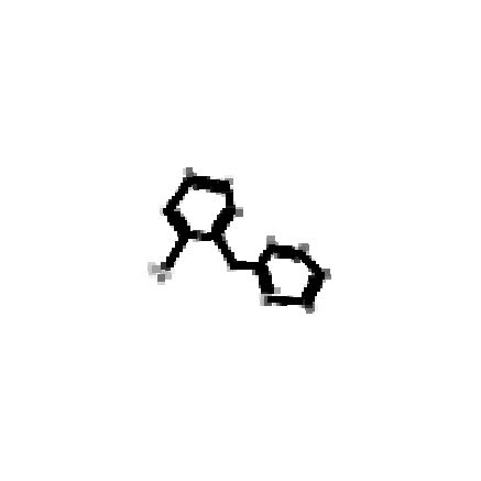 Oc1ccccc1C[C]1=[Bi][CH]=CC=C1